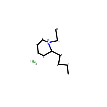 Br.CCCCC1CCCCN1CC